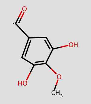 COc1c(O)cc([C]=O)cc1O